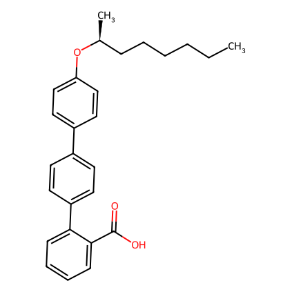 CCCCCC[C@H](C)Oc1ccc(-c2ccc(-c3ccccc3C(=O)O)cc2)cc1